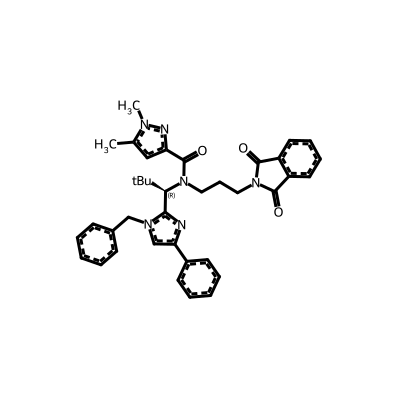 Cc1cc(C(=O)N(CCCN2C(=O)c3ccccc3C2=O)[C@@H](c2nc(-c3ccccc3)cn2Cc2ccccc2)C(C)(C)C)nn1C